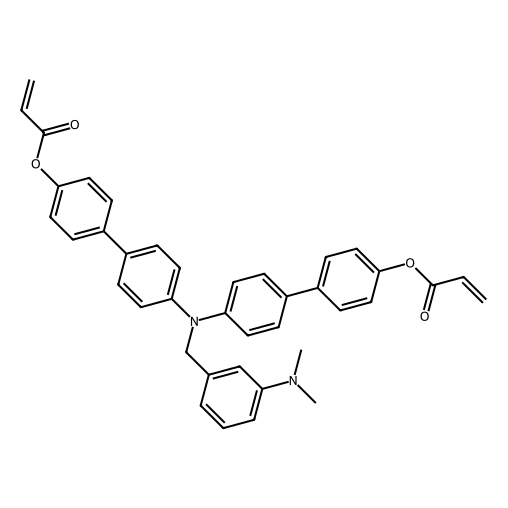 C=CC(=O)Oc1ccc(-c2ccc(N(Cc3cccc(N(C)C)c3)c3ccc(-c4ccc(OC(=O)C=C)cc4)cc3)cc2)cc1